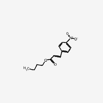 CCCCOC(=O)/C=C/c1ccc([N+](=O)[O-])cc1